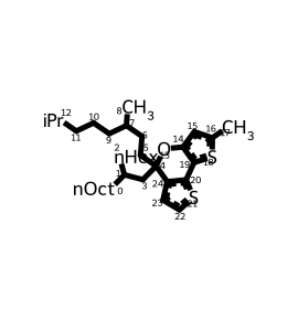 CCCCCCCCC(CCCCCC)CC1(CCC(C)CCCC(C)C)Oc2cc(C)sc2-c2sccc21